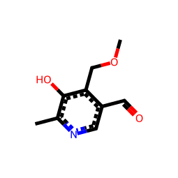 COCc1c(C=O)cnc(C)c1O